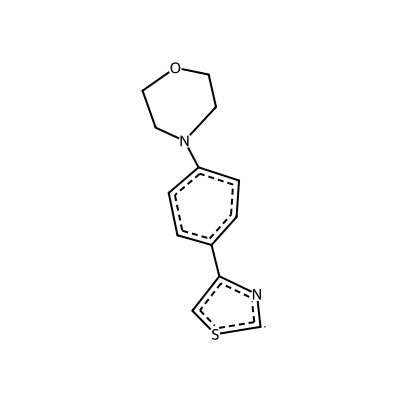 [c]1nc(-c2ccc(N3CCOCC3)cc2)cs1